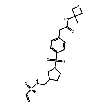 C=CS(=O)(=O)NCC1CCN(S(=O)(=O)c2ccc(CC(=O)NC3(C)COC3)cc2)C1